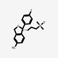 C[N+](C)([O-])CCC[C@@]1(c2ccc(F)cc2)OCc2cc(C#N)ccc21